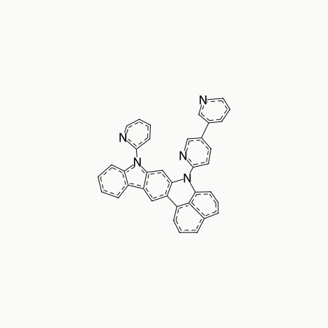 c1ccc(-n2c3ccccc3c3cc4c(cc32)N(c2ccc(-c3cccnc3)cn2)c2cccc3cccc-4c23)nc1